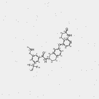 CNCc1cc(C(=O)N[C@@H]2CCc3ccc(Oc4ccnc5c4CCC(=O)N5)cc3C2)cc(C(F)(F)F)c1